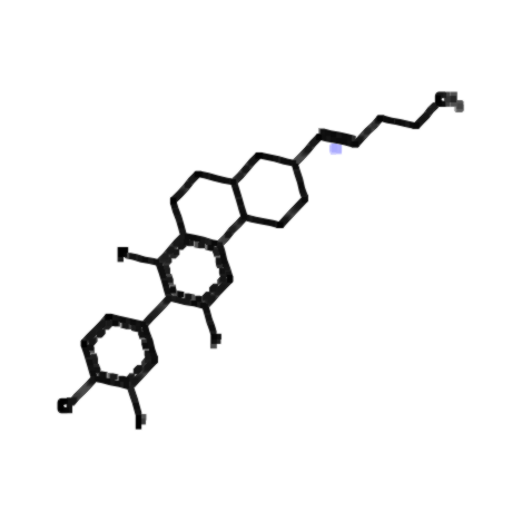 CCC/C=C/C1CCC2c3cc(F)c(-c4ccc(Cl)c(F)c4)c(F)c3CCC2C1